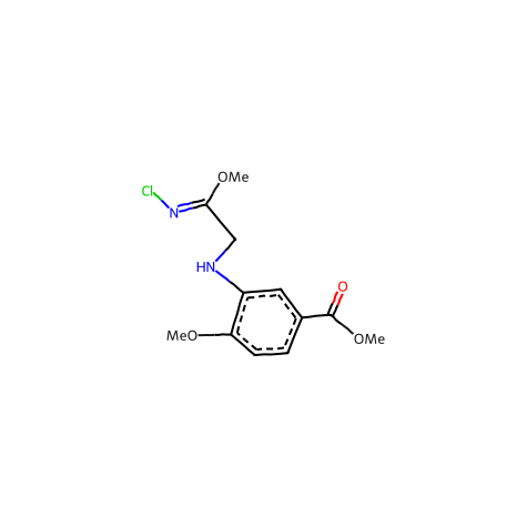 COC(=O)c1ccc(OC)c(NCC(=NCl)OC)c1